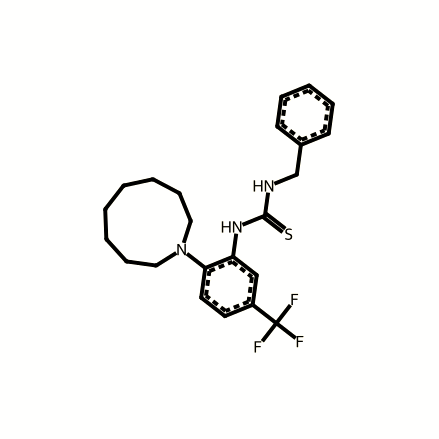 FC(F)(F)c1ccc(N2CCCCCCCC2)c(NC(=S)NCc2ccccc2)c1